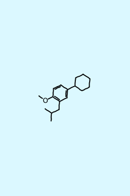 COc1ccc(C2CCCCC2)cc1CC(C)C